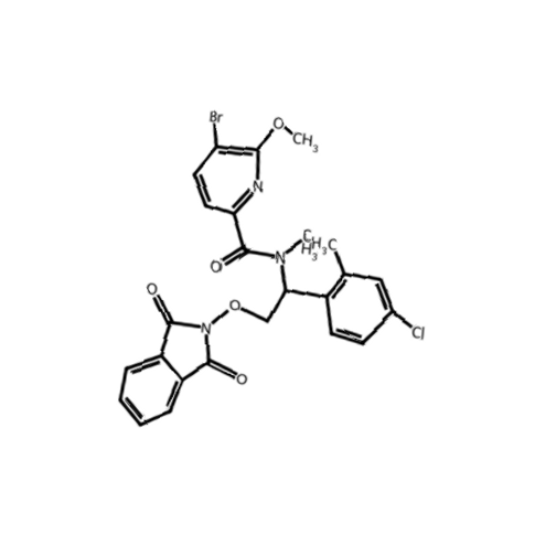 COc1nc(C(=O)N(C)C(CON2C(=O)c3ccccc3C2=O)c2ccc(Cl)cc2C)ccc1Br